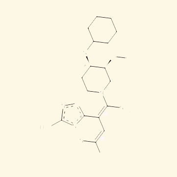 CO[C@H]1CN(/C(N)=C(/C=C(/C)N)c2nc(C)no2)CC[C@H]1NC1CCCCC1